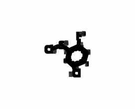 Fc1ccc(Cl)cc1SCl